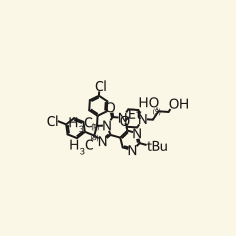 CCOc1nc(C(C)(C)C)ncc1C1=N[C@@](C)(c2ccc(Cl)cc2)[C@@](C)(c2ccc(Cl)cc2)N1C(=O)N1CCN(C[C@H](O)CO)CC1